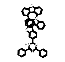 c1ccc(C2=NC(c3ccc4c(c3)sc3cc(-c5cccc6sc7cccc(-n8c9ccccc9c9ccccc98)c7c56)ccc34)NC(c3ccccc3)=N2)cc1